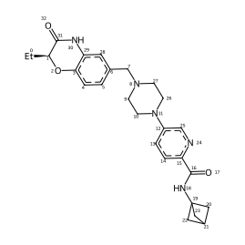 CC[C@@H]1Oc2ccc(CN3CCN(c4ccc(C(=O)NC56CC(C5)C6)nc4)CC3)cc2NC1=O